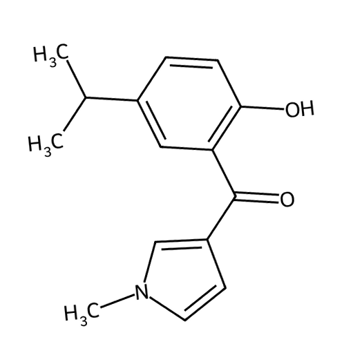 CC(C)c1ccc(O)c(C(=O)c2ccn(C)c2)c1